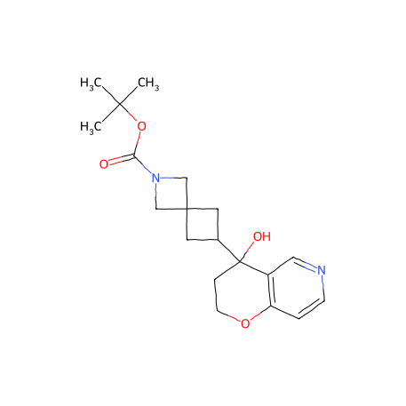 CC(C)(C)OC(=O)N1CC2(CC(C3(O)CCOc4ccncc43)C2)C1